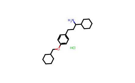 Cl.NC(CCc1ccc(OCC2CCCCC2)cc1)C1CCCCC1